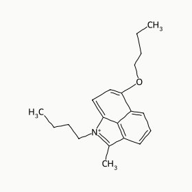 CCCCOc1ccc2c3c(cccc13)C(C)=[N+]2CCCC